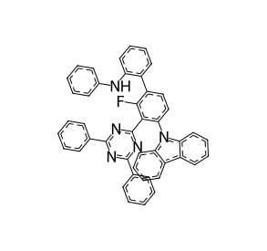 Fc1c(-c2ccccc2Nc2ccccc2)ccc(-n2c3ccccc3c3ccccc32)c1-c1nc(-c2ccccc2)nc(-c2ccccc2)n1